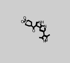 Cc1noc(C)c1-c1cnc2[nH]cc(C(=O)C3CCS(=O)(=O)CC3)c2c1